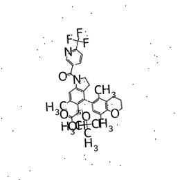 Cc1cc2c(c(-c3cc(F)c4c(c3C)CCCO4)c1[C@H](OC(C)(C)C)C(=O)O)CCN2C(=O)c1ccc(C(F)(F)F)nc1